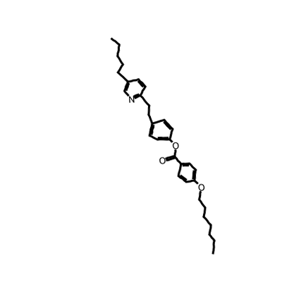 CCCCCCCOc1ccc(C(=O)Oc2ccc(CCc3ccc(CCCCC)cn3)cc2)cc1